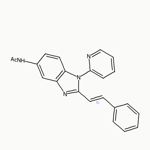 CC(=O)Nc1ccc2c(c1)nc(/C=C/c1ccccc1)n2-c1ccccn1